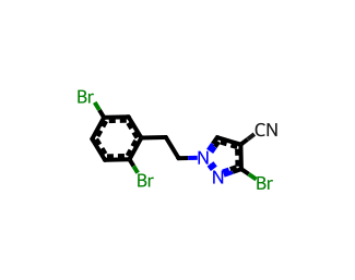 N#Cc1cn(CCc2cc(Br)ccc2Br)nc1Br